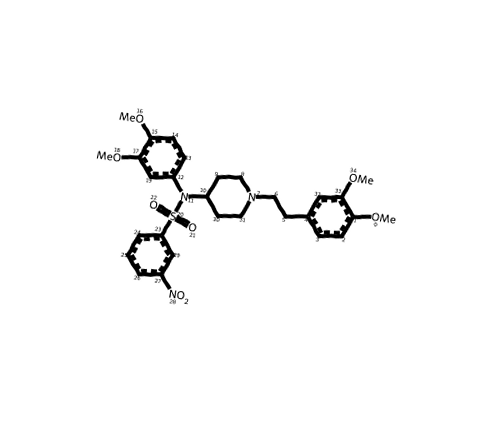 COc1ccc(CCN2CCC(N(c3ccc(OC)c(OC)c3)S(=O)(=O)c3cccc([N+](=O)[O-])c3)CC2)cc1OC